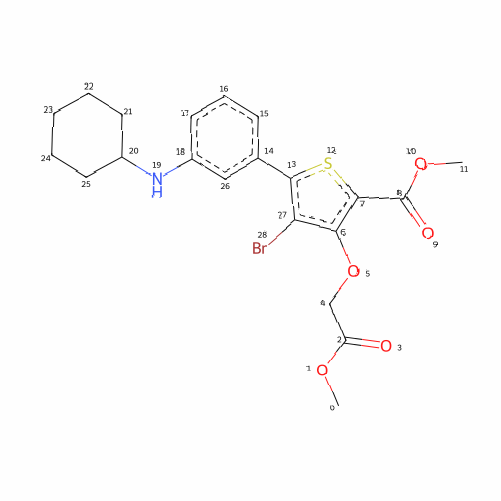 COC(=O)COc1c(C(=O)OC)sc(-c2cccc(NC3CCCCC3)c2)c1Br